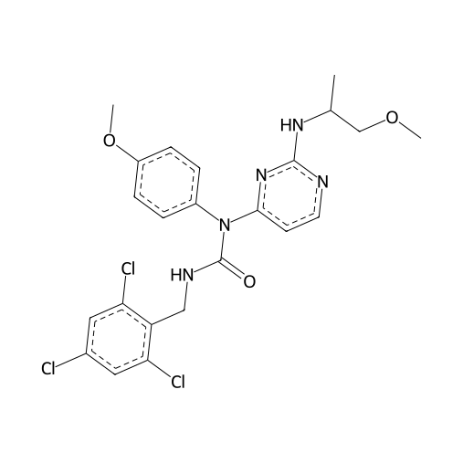 COCC(C)Nc1nccc(N(C(=O)NCc2c(Cl)cc(Cl)cc2Cl)c2ccc(OC)cc2)n1